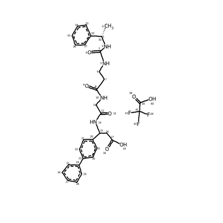 C[C@H](NC(=O)NCCC(=O)NCC(=O)NC(CC(=O)O)c1ccc(-c2ccccc2)cc1)c1ccccc1.O=C(O)C(F)(F)F